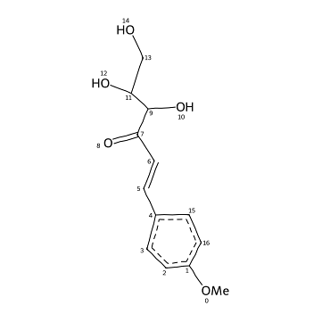 COc1ccc(C=CC(=O)C(O)C(O)CO)cc1